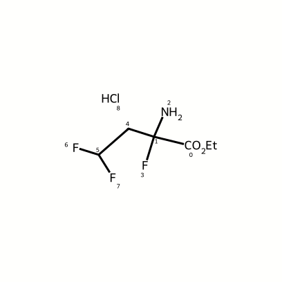 CCOC(=O)C(N)(F)CC(F)F.Cl